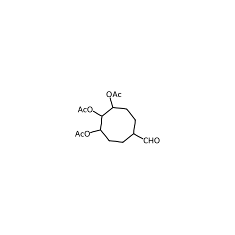 CC(=O)OC1CCC(C=O)CCC(OC(C)=O)C1OC(C)=O